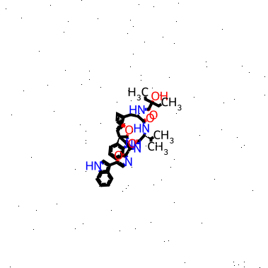 CCC(O)(CC)C(=O)N[C@H]1Cc2ccc3c(c2)[C@@]2(c4ccccc4NC2O3)c2oc(nc2-c2ncc(-c3c[nH]c4ccccc34)o2)[C@H](C(C)C)NC1=O